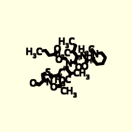 CCCC(=O)OCN(C(=O)[C@@H](NC(=O)[C@H]1CCCCN1C)C(C)CC)[C@H](C[C@@H](OC(C)=O)c1nc(C=O)cs1)C(C)C